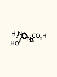 Nc1ccc(N2CCC2C(=O)O)cc1CCO